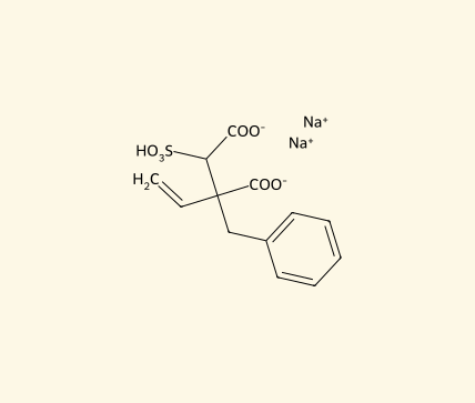 C=CC(Cc1ccccc1)(C(=O)[O-])C(C(=O)[O-])S(=O)(=O)O.[Na+].[Na+]